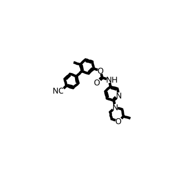 Cc1ccc(OC(=O)Nc2ccc(N3CCOC(C)C3)nc2)cc1-c1ccc(C#N)cc1